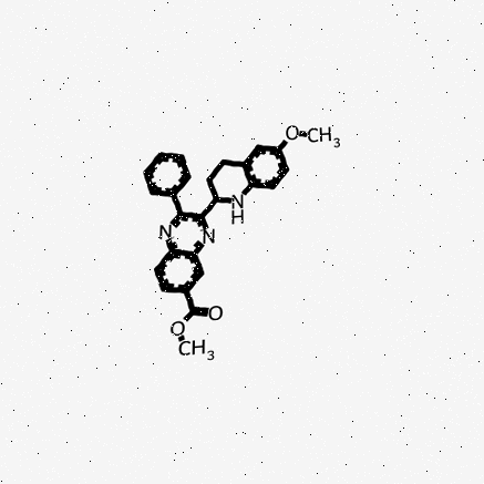 COC(=O)c1ccc2nc(-c3ccccc3)c(C3CCc4cc(OC)ccc4N3)nc2c1